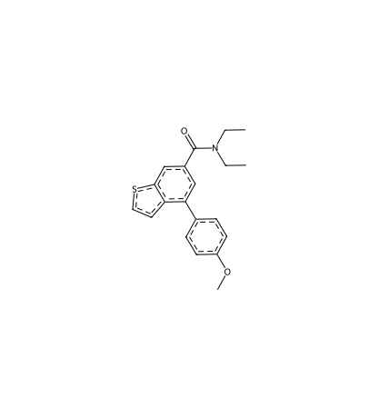 CCN(CC)C(=O)c1cc(-c2ccc(OC)cc2)c2ccsc2c1